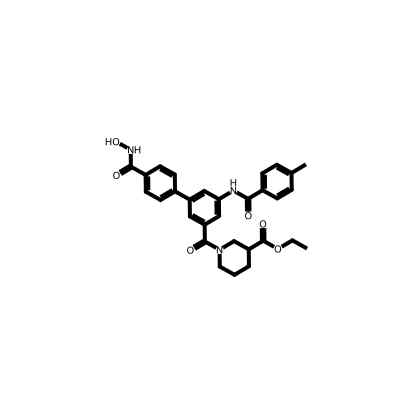 CCOC(=O)C1CCCN(C(=O)c2cc(NC(=O)c3ccc(C)cc3)cc(-c3ccc(C(=O)NO)cc3)c2)C1